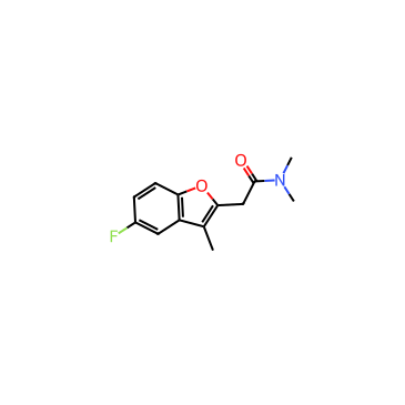 Cc1c(CC(=O)N(C)C)oc2ccc(F)cc12